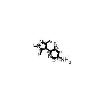 Cc1nn(C)c(C)c1-c1ncc(N)cc1F